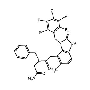 NC(=O)CN(Cc1ccccc1)C(=O)Cc1c(C(F)(F)F)ccc2[nH]c(=O)n(Cc3c(F)c(F)c(F)c(F)c3F)c12